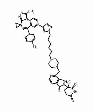 Cc1nnc2n1-c1ccc(-c3cnn(CCCCCCN4CCN(Cc5nccc6c5CN(C5(C)CCC(=O)NC5=O)C6=O)CC4)c3)cc1C(c1ccc(Cl)cc1)=NC21CC1